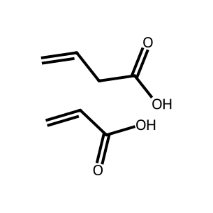 C=CC(=O)O.C=CCC(=O)O